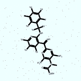 [2H]c1nc(NC([2H])([2H])c2c([2H])c(C)c([2H])c([2H])c2F)c(C(=N)c2nc(N)c(N(C)C(=O)OC)c(N)n2)c([2H])c1[2H]